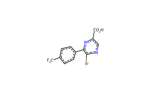 O=C(O)c1cnc(Br)c(-c2ccc(C(F)(F)F)cc2)n1